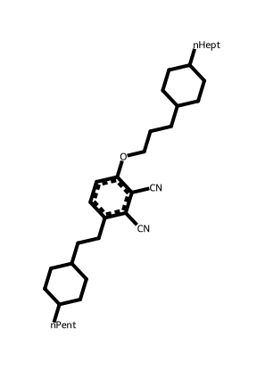 CCCCCCCC1CCC(CCCOc2ccc(CCC3CCC(CCCCC)CC3)c(C#N)c2C#N)CC1